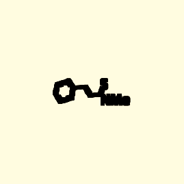 CNC(=S)C=Cc1ccccc1